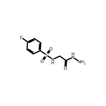 NNC(=O)CNS(=O)(=O)c1ccc(F)cc1